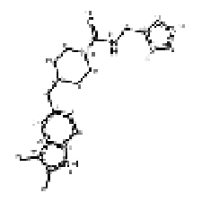 Cc1[nH]c2ccc(CN3CCN(C(=O)NCc4cncs4)CC3)cc2c1C